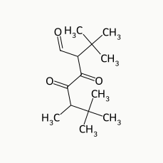 CC(C(=O)C(=O)C(C=O)C(C)(C)C)C(C)(C)C